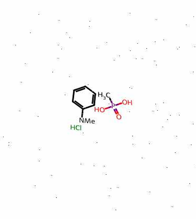 CNc1ccccc1.CP(=O)(O)O.Cl